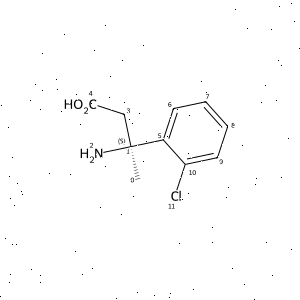 C[C@](N)(CC(=O)O)c1ccccc1Cl